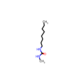 CCCCCCCCNC(=O)NC